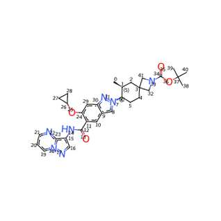 C[C@H]1CC2(CC[C@H]1n1cc3cc(C(=O)Nc4cnn5cccnc45)c(OC4CC4)cc3n1)CN(C(=O)OC(C)(C)C)C2